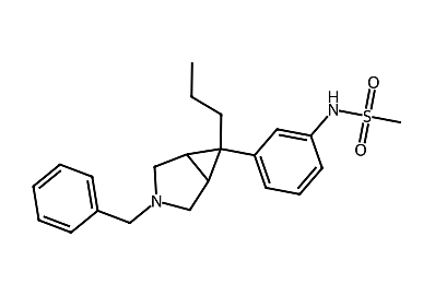 CCCC1(c2cccc(NS(C)(=O)=O)c2)C2CN(Cc3ccccc3)CC21